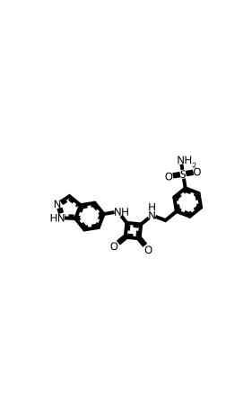 NS(=O)(=O)c1cccc(CNc2c(Nc3ccc4[nH]ncc4c3)c(=O)c2=O)c1